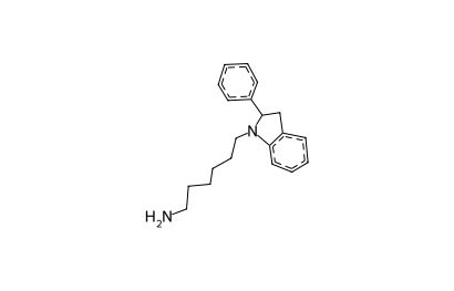 NCCCCCCN1c2ccccc2CC1c1ccccc1